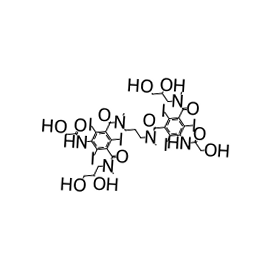 CN(CCCN(C)C(=O)c1c(I)c(NC(=O)CO)c(I)c(C(=O)N(C)CC(O)CO)c1I)C(=O)c1c(I)c(NC(=O)CO)c(I)c(C(=O)N(C)CC(O)CO)c1I